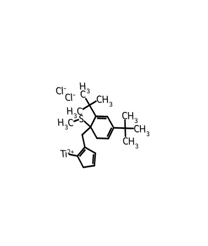 CSC1(CC2=[C]([Ti+2])CC=C2)CC=C(C(C)(C)C)C=C1C(C)(C)C.[Cl-].[Cl-]